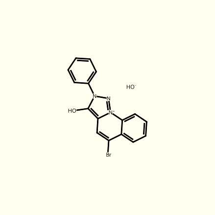 Oc1c2cc(Br)c3ccccc3[n+]2nn1-c1ccccc1.[OH-]